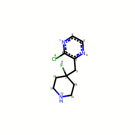 FC1(Cc2nccnc2Cl)CCNCC1